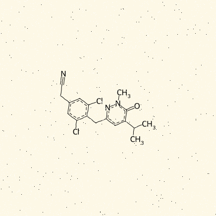 CC(C)c1cc(Cc2c(Cl)cc(CC#N)cc2Cl)nn(C)c1=O